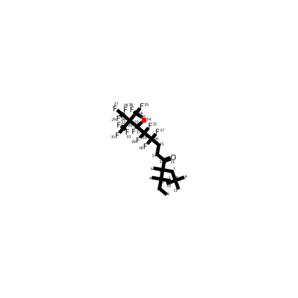 CCC(C)(C)C(C)(CC(C)(C)C)C(=O)CCC(F)(F)C(F)(F)C(F)(F)C(C(F)(F)F)(C(F)(F)F)C(F)(F)F